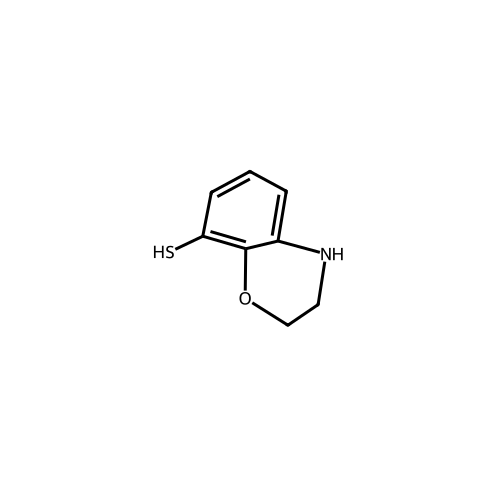 Sc1cccc2c1OCCN2